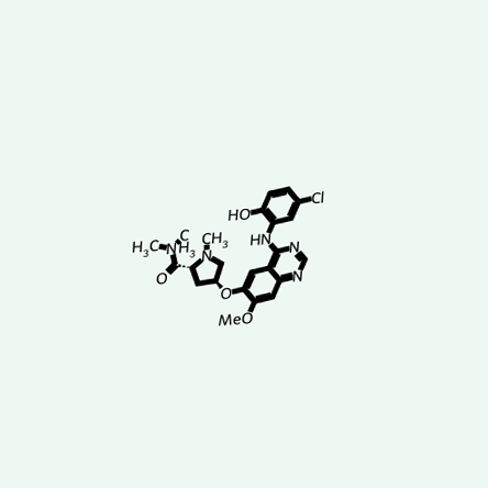 COc1cc2ncnc(Nc3cc(Cl)ccc3O)c2cc1O[C@H]1C[C@H](C(=O)N(C)C)N(C)C1